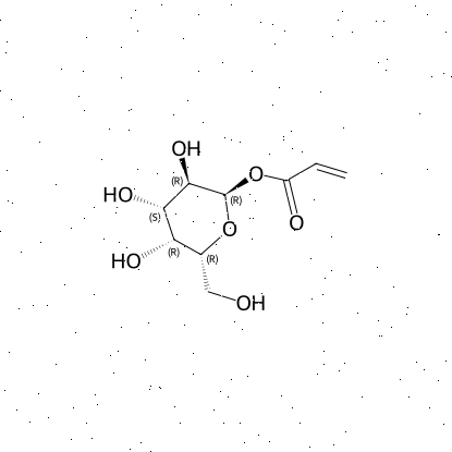 C=CC(=O)O[C@H]1O[C@H](CO)[C@H](O)[C@H](O)[C@H]1O